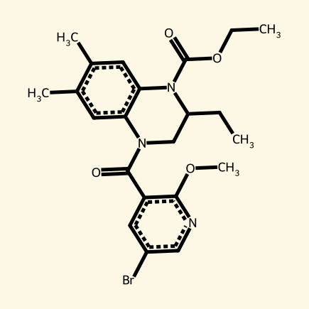 CCOC(=O)N1c2cc(C)c(C)cc2N(C(=O)c2cc(Br)cnc2OC)CC1CC